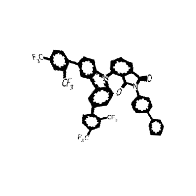 O=C1c2cccc(-n3c4ccc(-c5ccc(C(F)(F)F)cc5C(F)(F)F)cc4c4cc(-c5ccc(C(F)(F)F)cc5C(F)(F)F)ccc43)c2C(=O)N1c1ccc(-c2ccccc2)cc1